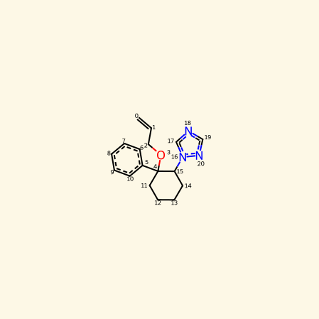 C=CCOC1(c2ccccc2)CCCCC1n1cncn1